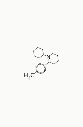 Cc1ccc(C2CCCCN2C2CCCCC2)cc1